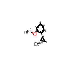 CCCOc1ccccc1[C@H]1C[C@@H]1CC